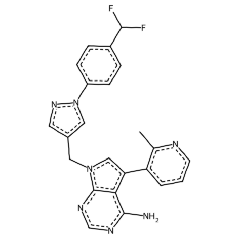 Cc1ncccc1-c1cn(Cc2cnn(-c3ccc(C(F)F)cc3)c2)c2ncnc(N)c12